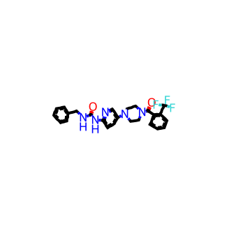 O=C(NCc1ccccc1)Nc1ccc(N2CCN(C(=O)c3ccccc3C(F)(F)F)CC2)cn1